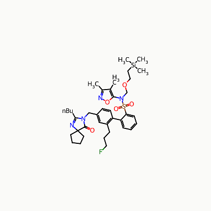 CCCCC1=NC2(CCCC2)C(=O)N1Cc1ccc(-c2ccccc2S(=O)(=O)N(COCC[Si](C)(C)C)c2onc(C)c2C)c(CCCF)c1